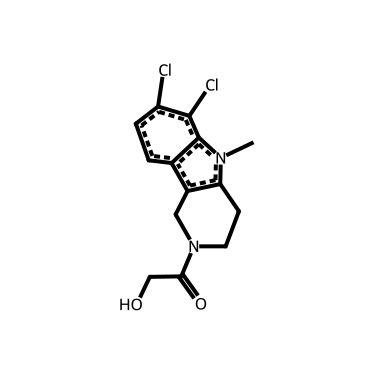 Cn1c2c(c3ccc(Cl)c(Cl)c31)CN(C(=O)CO)CC2